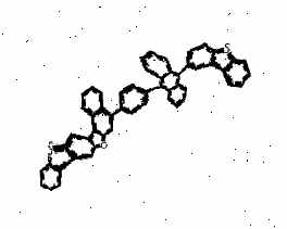 c1ccc2c(c1)sc1ccc(-c3c4ccccc4c(-c4ccc(-c5cc6oc7cc8c(cc7c6c6ccccc56)sc5ccccc58)cc4)c4ccccc34)cc12